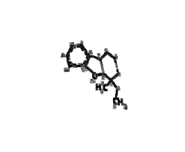 CCC1(C)CCCC2c3ccccc3OC21